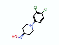 ON=C1CCN(c2ccc(Cl)c(Cl)c2)CC1